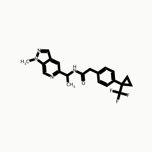 CC(NC(=O)Cc1ccc(C2(C(F)(F)F)CC2)cc1)c1cc2cnn(C)c2cn1